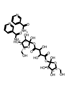 NC(=O)c1cccnc1.NC(=O)c1cccnc1.O=C(OC1(O)O[C@H](CO)[C@@H](O)[C@H]1O)C(O)C(O)C(=O)OC1(O)O[C@H](CO)[C@@H](O)[C@H]1O